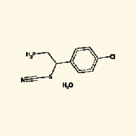 N#CSC(CP)c1ccc(Cl)cc1.O